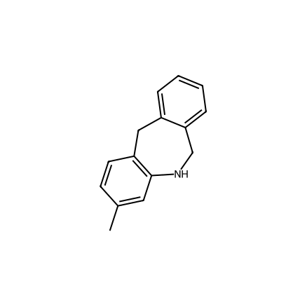 Cc1ccc2c(c1)NCc1ccccc1C2